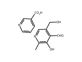 Cc1ncc(CO)c(C=O)c1O.O=C(O)c1cccnc1